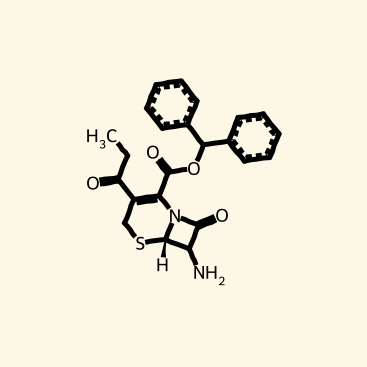 CCC(=O)C1=C(C(=O)OC(c2ccccc2)c2ccccc2)N2C(=O)C(N)[C@@H]2SC1